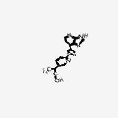 OCCC(c1ccc(-n2cc(-c3ccnc4[nH]cnc34)cn2)nc1)C(F)(F)F